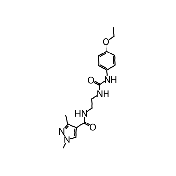 CCOc1ccc(NC(=O)NCCNC(=O)c2cn(C)nc2C)cc1